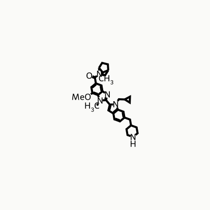 COc1cc(C(=O)N2CC3CCC2C3C)cc2nc(-c3cc4ccc(CC5CCNCC5)cc4n3CC3CC3)n(C)c12